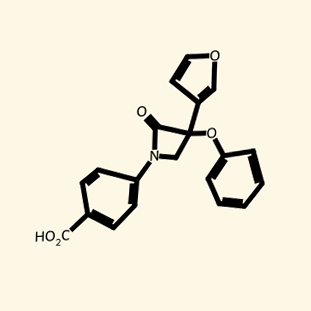 O=C(O)c1ccc(N2CC(Oc3ccccc3)(c3ccoc3)C2=O)cc1